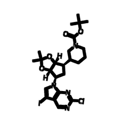 CC(C)(C)OC(=O)N1CCCC([C@H]2C[C@@H](n3cc(I)c4cnc(Cl)nc43)[C@@H]3OC(C)(C)O[C@@H]32)C1